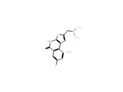 CN(C)Cc1cc2c([nH]c(=O)c3cc(F)ccc32)s1.Cl